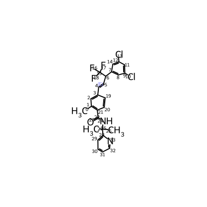 Cc1cc(/C=C/C(c2cc(Cl)cc(Cl)c2)C(F)(F)F)ccc1C(=O)NC(C)(C)c1ccccn1